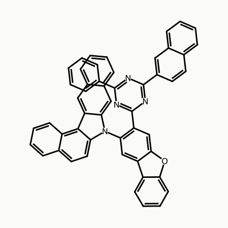 c1ccc(-c2nc(-c3ccc4ccccc4c3)nc(-c3cc4oc5ccccc5c4cc3-n3c4cc5ccccc5cc4c4c5ccccc5ccc43)n2)cc1